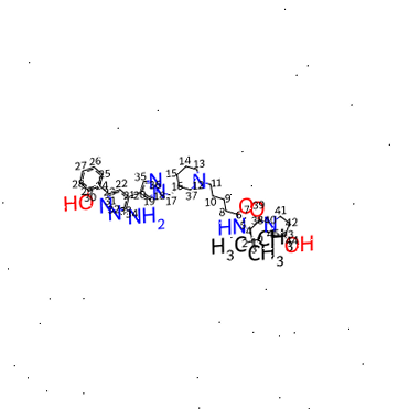 CC(C)(C)[C@H](NC(=O)CCCCN1CCC[C@@H](Cn2cc(-c3cc(-c4ccccc4O)nnc3N)cn2)C1)C(=O)N1CC[C@@H](O)C1